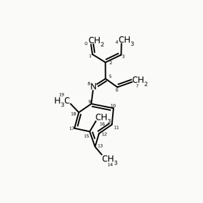 C=CC(=C\C)/C(C=C)=N/C1=C/C=C/C(C)=C(C)/C=C\1C